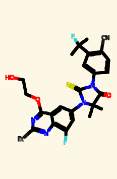 CCc1nc(OCCO)c2cc(N3C(=S)N(c4ccc(C#N)c(C(C)(C)F)c4)C(=O)C3(C)C)cc(F)c2n1